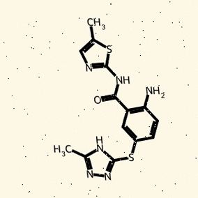 Cc1nnc(Sc2ccc(N)c(C(=O)Nc3ncc(C)s3)c2)[nH]1